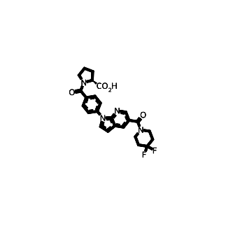 O=C(O)[C@@H]1CCCN1C(=O)c1ccc(-n2ccc3cc(C(=O)N4CCC(F)(F)CC4)cnc32)cc1